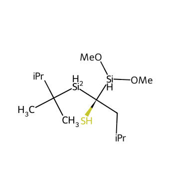 CO[SiH](OC)[C@](S)(CC(C)C)[SiH2]C(C)(C)C(C)C